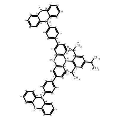 CC(C)c1cc(C(C)C)c(B2c3ccc(-c4ccc(N5c6ccccc6Oc6ccccc65)cc4)cc3Oc3cc(-c4ccc(N5c6ccccc6Oc6ccccc65)cc4)ccc32)c(C(C)C)c1